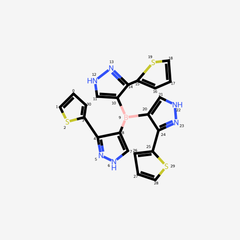 c1csc(-c2n[nH]cc2B(c2c[nH]nc2-c2cccs2)c2c[nH]nc2-c2cccs2)c1